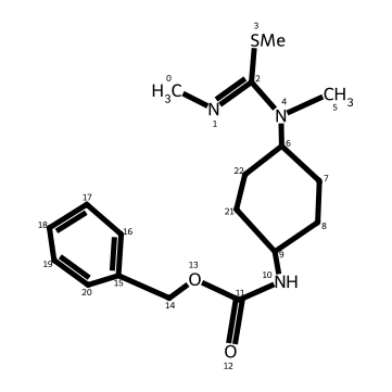 CN=C(SC)N(C)C1CCC(NC(=O)OCc2ccccc2)CC1